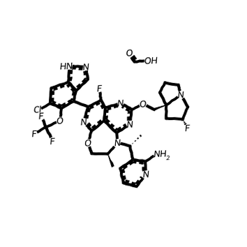 C[C@H](c1cccnc1N)N1c2nc(OC[C@@]34CCCN3C[C@H](F)C4)nc3c(F)c(-c4c(OC(F)(F)F)c(Cl)cc5[nH]ncc45)nc(c23)OC[C@@H]1C.O=CO